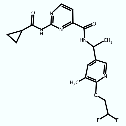 Cc1cc(C(C)NC(=O)c2ccnc(NC(=O)C3CC3)n2)cnc1OCC(F)F